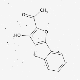 CC(=O)c1oc2c(sc3ccccc32)c1O